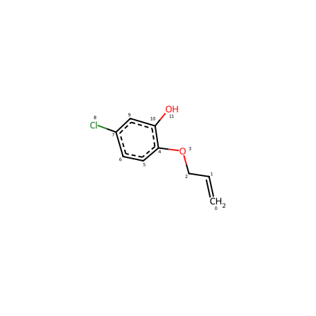 C=CCOc1ccc(Cl)cc1O